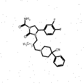 C[C@@H](CN1CCC(C#N)(c2ccccc2)CC1)CN1C(=O)N(C(N)=O)CC1c1ccc(F)c(F)c1